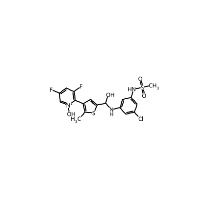 Cc1sc(C(O)Nc2cc(Cl)cc(NS(C)(=O)=O)c2)cc1-c1c(F)cc(F)c[n+]1O